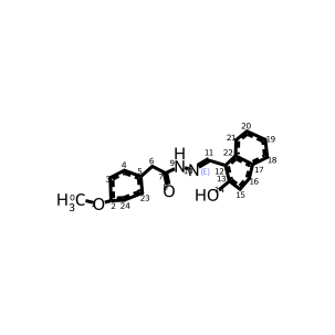 COc1ccc(CC(=O)N/N=C/c2c(O)ccc3ccccc23)cc1